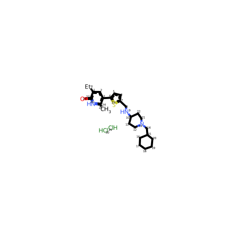 CCc1cc(-c2ccc(CNC3CCN(CC4CCCCC4)CC3)s2)c(C)[nH]c1=O.Cl.Cl